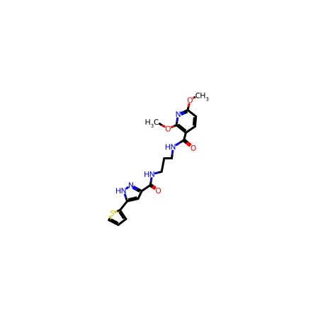 COc1ccc(C(=O)NCCCNC(=O)c2cc(-c3cccs3)[nH]n2)c(OC)n1